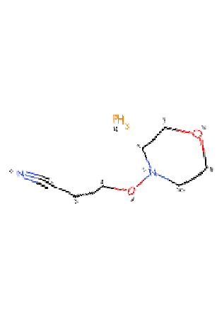 N#CCCON1CCOCC1.P